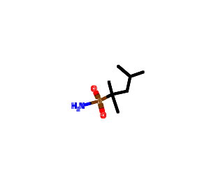 CC(C)CC(C)(C)S(N)(=O)=O